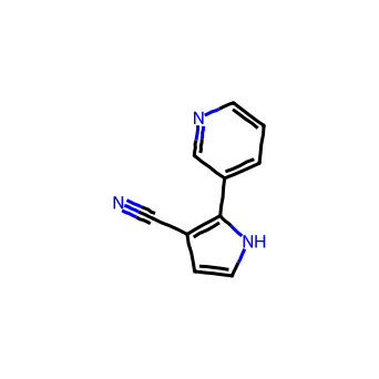 N#Cc1cc[nH]c1-c1cccnc1